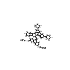 CCCCCc1ccc2c(c1)c1cc(CCCCC)cc3c1n2B1c2cc(-c4ccccc4)cc4c5cc(-c6ccccc6)cc6c7c8sc9ccccc9c8c-3c1c7n(c24)c56